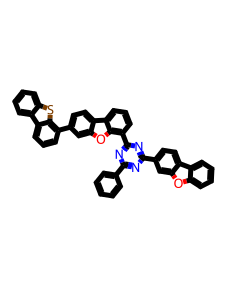 c1ccc(-c2nc(-c3ccc4c(c3)oc3ccccc34)nc(-c3cccc4c3oc3cc(-c5cccc6c5sc5ccccc56)ccc34)n2)cc1